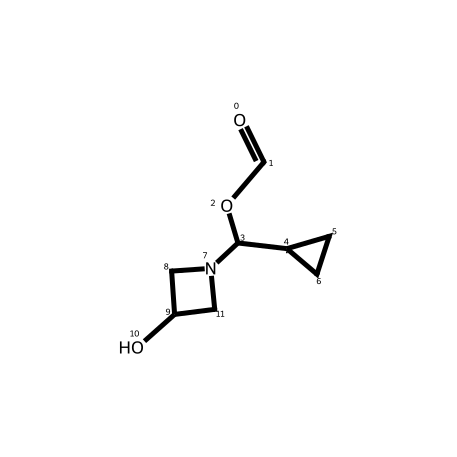 O=COC([C]1CC1)N1CC(O)C1